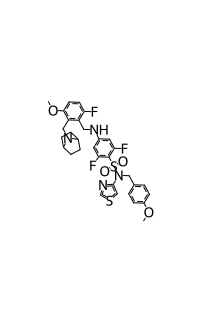 COc1ccc(CN(c2cscn2)S(=O)(=O)c2c(F)cc(NCc3c(F)ccc(OC)c3CN3C4CCC3CC4)cc2F)cc1